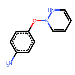 Nc1ccc(ON2C=CC=CN2)cc1